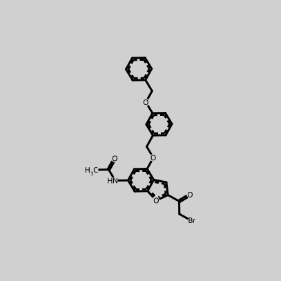 CC(=O)Nc1cc(OCc2cccc(OCc3ccccc3)c2)c2cc(C(=O)CBr)oc2c1